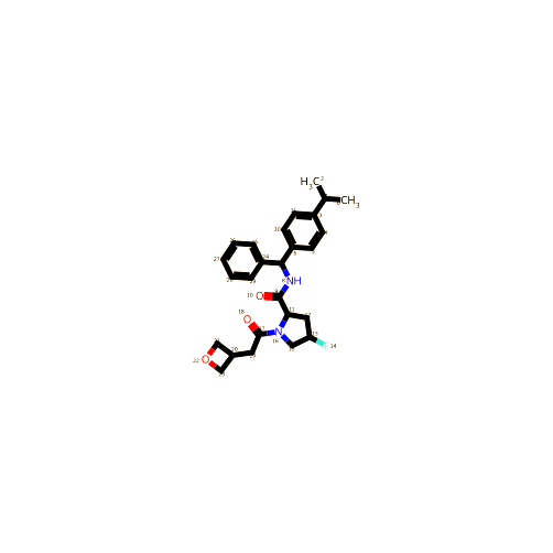 CC(C)c1ccc(C(NC(=O)C2CC(F)CN2C(=O)CC2COC2)c2ccccc2)cc1